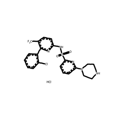 Cl.O=S(=O)(Nc1ccc(C(F)(F)F)c(-c2ccccc2Cl)n1)c1cccc(N2CCNCC2)n1